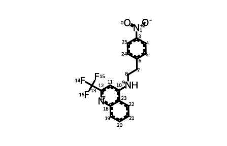 O=[N+]([O-])c1ccc(CCNc2cc(C(F)(F)F)nc3ccccc23)cc1